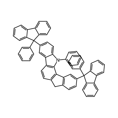 c1ccc(-n2c3ccc(C4(c5ccccc5)c5ccccc5-c5ccccc54)cc3c3ccc4c(c32)-c2cc(C3(c5ccccc5)c5ccccc5-c5ccccc53)ccc2C4)cc1